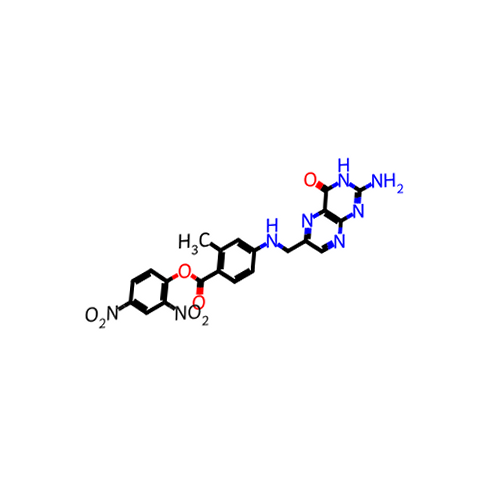 Cc1cc(NCc2cnc3nc(N)[nH]c(=O)c3n2)ccc1C(=O)Oc1ccc([N+](=O)[O-])cc1[N+](=O)[O-]